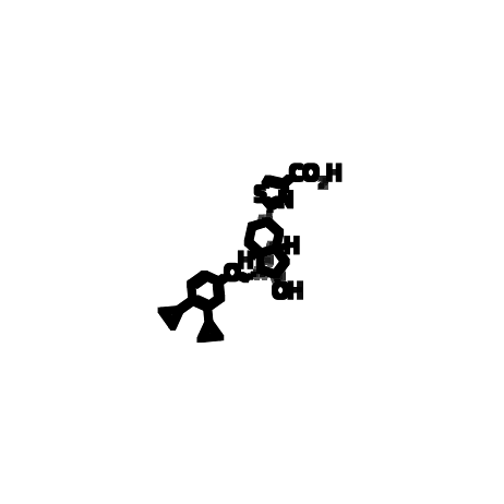 O=C(O)c1csc([C@H]2CC[C@H]3[C@@H](C2)C[C@H](O)[C@@H]3COc2ccc(C3CC3)c(C3CC3)c2)n1